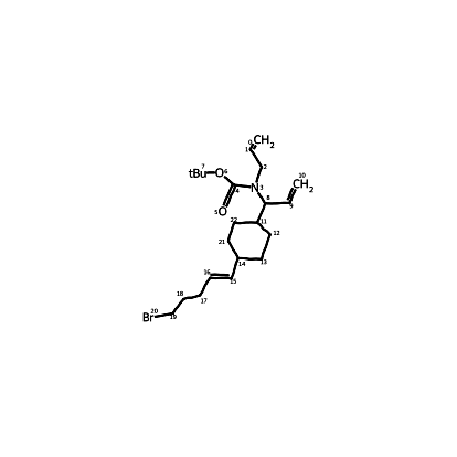 C=CCN(C(=O)OC(C)(C)C)C(C=C)C1CCC(/C=C/CCCBr)CC1